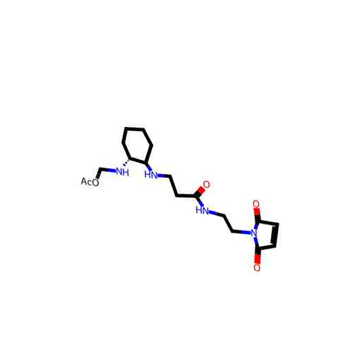 CC(=O)OCN[C@@H]1CCCCC1NCCC(=O)NCCN1C(=O)C=CC1=O